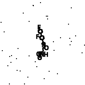 O=C1N[C@H](CCC(=O)N2CC(c3ccc(-c4ccc(F)cc4)c(F)c3)C2)CO1